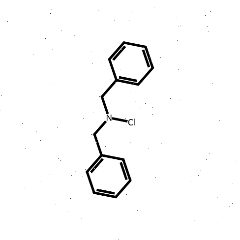 ClN([CH]c1ccccc1)[CH]c1ccccc1